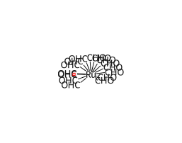 O=[CH][Ru]([CH]=O)([CH]=O)([CH]=O)([CH]=O)([CH]=O)([CH]=O)([CH]=O)([CH]=O)([CH]=O)([CH]=O)([CH]=O)([CH]=O)([CH]=O)[CH]=O